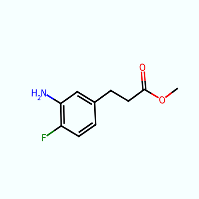 COC(=O)CCc1ccc(F)c(N)c1